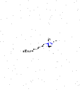 CCCCCCCCCCCCCCCCN1C=CN(CC)C1C(C)C